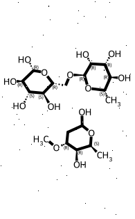 CO[C@@H]1CC(O)O[C@@H](C)[C@H]1O.C[C@@H]1O[C@@H](OC[C@H]2O[C@@H](O)[C@H](O)[C@@H](O)[C@@H]2O)[C@H](O)[C@H](O)[C@H]1O